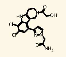 NC(=O)Cn1ccc(-c2cc(Cl)c(Cl)c3[nH]c4c(c23)CN(C(=O)CO)CC4)n1